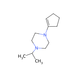 CC(C)N1CCN(C2=CCCC2)CC1